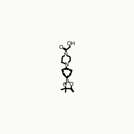 C=C1OB(c2ccc(N3CCN(C(=O)CO)CC3)cc2)OC1(C)C